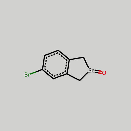 O=[Se]1Cc2ccc(Br)cc2C1